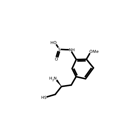 COc1ccc(C[C@H](N)CS)cc1NS(=O)O